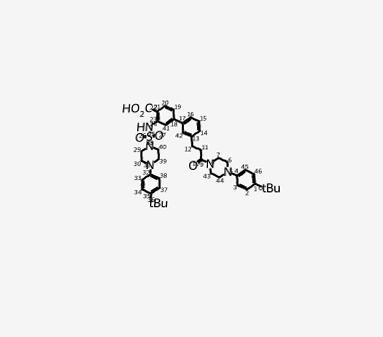 CC(C)(C)c1ccc(N2CCN(C(=O)CCc3cccc(-c4ccc(C(=O)O)c(NS(=O)(=O)N5CCN(c6ccc(C(C)(C)C)cc6)CC5)c4)c3)CC2)cc1